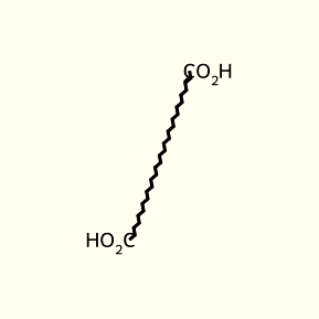 O=C(O)C=CCCCCCCCCCCCCCCCCCCCCCCCCCC(=O)O